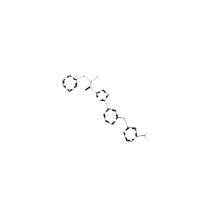 CCC(Cc1ccccc1)C(=O)c1ccc(-c2cccc(Cc3cccc(C(C)C)c3)c2)s1